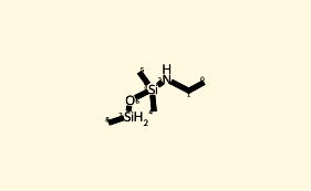 CCN[Si](C)(C)O[SiH2]C